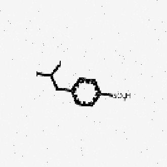 O=S(=O)(O)c1ccc(CC(I)I)cc1